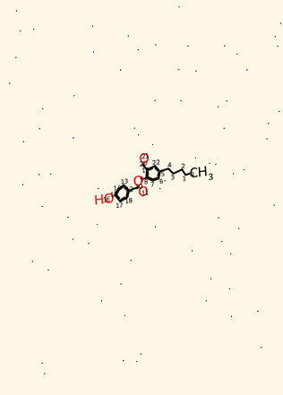 CCCCCc1ccc(OC(=O)c2ccc(O)cc2)c(C=O)c1